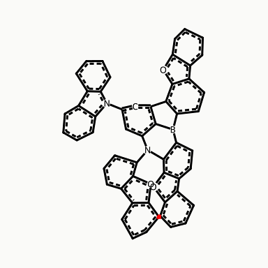 c1ccc2c(c1)oc1c(N3c4cc(-n5c6ccccc6c6ccccc65)cc5c4B(c4ccc6c(oc7ccccc76)c4-5)c4ccc5c(oc6ccccc65)c43)cccc12